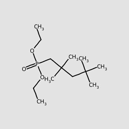 CCOP(=O)(CC(C)(C)CC(C)(C)C)OCC